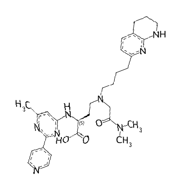 Cc1cc(N[C@@H](CCN(CCCCc2ccc3c(n2)NCCC3)CC(=O)N(C)C)C(=O)O)nc(-c2ccncc2)n1